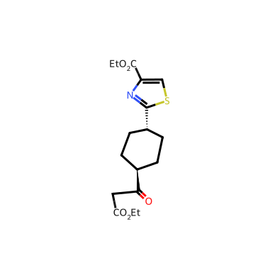 CCOC(=O)CC(=O)[C@H]1CC[C@H](c2nc(C(=O)OCC)cs2)CC1